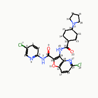 O=C(Nc1ccc(Cl)cn1)c1oc2ccc(Cl)nc2c1NC(=O)C1CCC(N2CCCC2)CC1